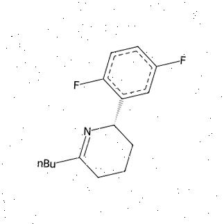 CCCCC1=N[C@H](c2cc(F)ccc2F)CCC1